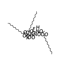 CCCCCCCCCCCC(=O)OC(C)OC(=O)Nc1nc(=O)n([C@@H]2O[C@H](C)[C@@H](OC(=O)CCCCCCCCCCC)[C@H]2OC(=O)CCCCCCCCCCC)cc1F